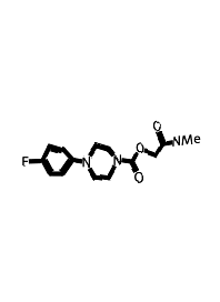 CNC(=O)COC(=O)N1CCN(c2ccc(F)cc2)CC1